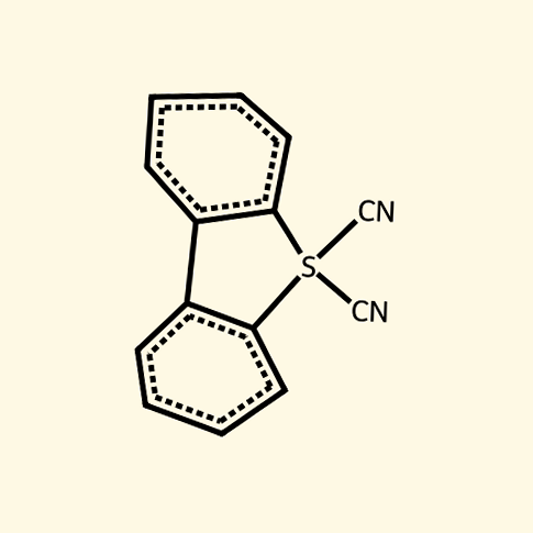 N#CS1(C#N)c2ccccc2-c2ccccc21